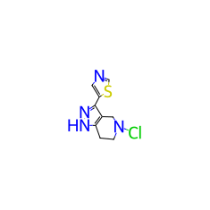 ClN1CCc2[nH]nc(-c3cncs3)c2C1